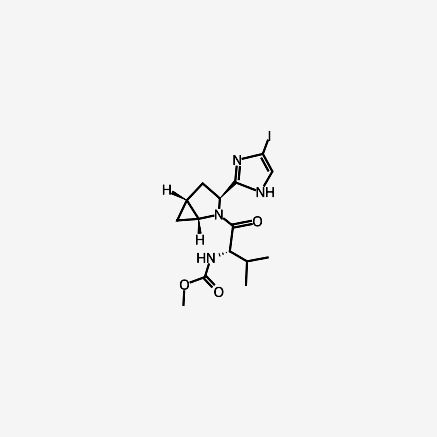 COC(=O)N[C@H](C(=O)N1[C@@H]2C[C@@H]2C[C@H]1c1nc(I)c[nH]1)C(C)C